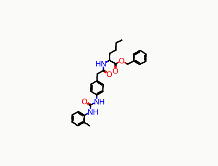 CCCCC(NC(=O)Cc1ccc(NC(=O)Nc2ccccc2C)cc1)C(=O)OCc1ccccc1